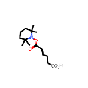 CC1(C)CCCC(C)(C)N1OC(=O)CCCCC(=O)O